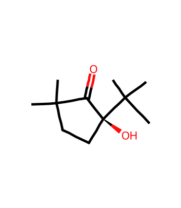 CC1(C)CC[C@@](O)(C(C)(C)C)C1=O